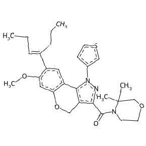 CC/C=C(\CCC)c1cc2c(cc1OC)OCc1c(C(=O)N3CCOCC3(C)C)nn(-c3ccsc3)c1-2